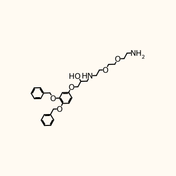 NCCOCCOCCNCC(O)COc1ccc(OCc2ccccc2)c(OCc2ccccc2)c1